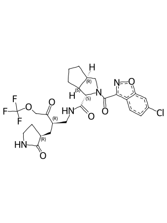 O=C(COC(F)(F)F)[C@@H](CNC(=O)[C@@H]1[C@H]2CCC[C@H]2CN1C(=O)c1noc2cc(Cl)ccc12)C[C@@H]1CCNC1=O